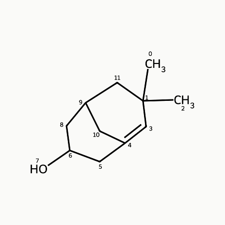 CC1(C)C=C2CC(O)CC(C2)C1